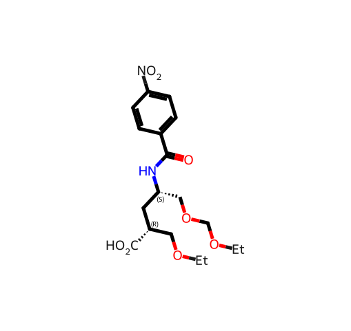 CCOCOC[C@H](C[C@H](COCC)C(=O)O)NC(=O)c1ccc([N+](=O)[O-])cc1